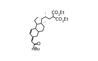 CCCCC(=O)/C=C1/C=CC2C(CC[C@@]3(C)C2CC[C@@H]3[C@H](C)CC(C(=O)OCC)C(=O)OCC)C1